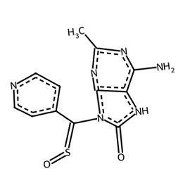 Cc1nc(N)c2[nH]c(=O)n(C(=S=O)c3ccncc3)c2n1